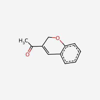 CC(=O)C1=Cc2ccccc2OC1